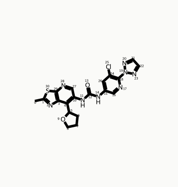 Cc1nc2c(C3CCCO3)c(NC(=O)Nc3cnc(-n4nccn4)c(Cl)c3)cnc2s1